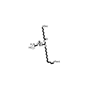 CCCCC/C=C\C/C=C\CCCCCCCCOC(COC(=O)CCCCCCCCCCCCCCCCC)COP(=O)(O)OCC(N)C(=O)O